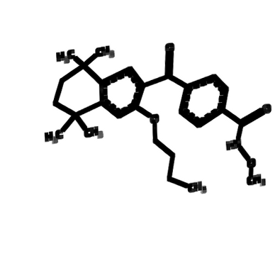 CCCCOc1cc2c(cc1C(=O)c1ccc(C(=O)NOC)cc1)C(C)(C)CCC2(C)C